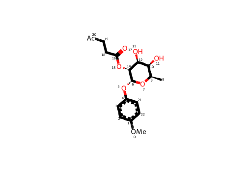 COc1ccc(O[C@H]2O[C@H](C)[C@H](O)[C@H](O)[C@H]2OC(=O)CCC(C)=O)cc1